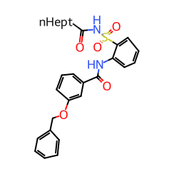 CCCCCCCC(=O)NS(=O)(=O)c1ccccc1NC(=O)c1cccc(OCc2ccccc2)c1